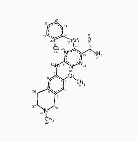 COc1cc2c(cc1Nc1nnc(C(N)=O)c(Nc3ccccc3Cl)n1)CCN(C)C2